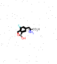 N[C@@H](Cc1cc(F)c2c(c1)B(O)OC2)C(=O)O